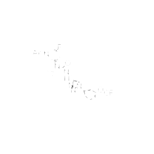 CC(=O)N1C[C@@H](F)C[C@@H](N(C(=O)NCc2cn(-c3cccc(OC(F)(F)F)c3)nn2)C2CC2)C1